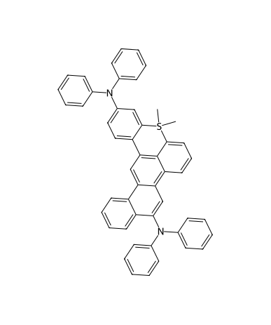 CS1(C)c2cc(N(c3ccccc3)c3ccccc3)ccc2-c2cc3c4ccccc4c(N(c4ccccc4)c4ccccc4)cc3c3cccc1c23